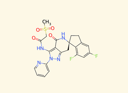 CS(=O)(=O)CC(=O)Nc1c2c(nn1-c1ccccn1)C[C@]1(CCc3cc(F)cc(F)c31)NC2=O